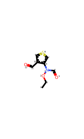 CCON(C=O)c1cscc1C=O